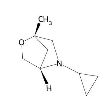 C[C@@]12C[C@@H](CO1)N(C1CC1)C2